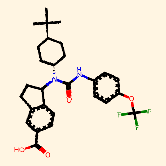 CC(C)(C)[C@H]1CC[C@H](N(C(=O)Nc2ccc(OC(F)(F)F)cc2)C2CCc3cc(C(=O)O)ccc32)CC1